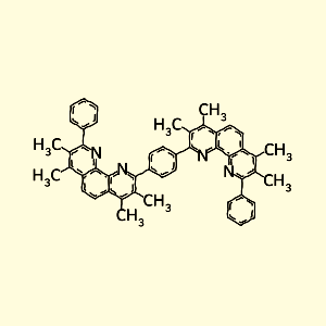 Cc1c(-c2ccccc2)nc2c(ccc3c(C)c(C)c(-c4ccc(-c5nc6c(ccc7c(C)c(C)c(-c8ccccc8)nc76)c(C)c5C)cc4)nc32)c1C